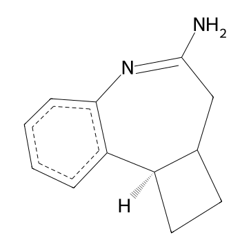 NC1=Nc2ccccc2[C@@H]2CCC2C1